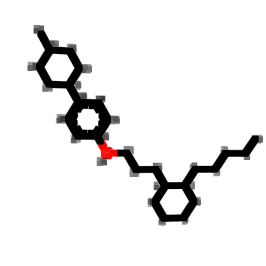 CCCCCC1CCCCC1CCCOc1ccc(C2CCC(C)CC2)cc1